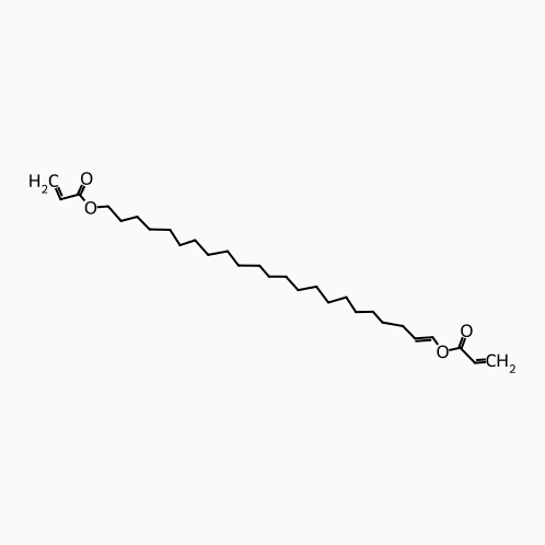 C=CC(=O)OC=CCCCCCCCCCCCCCCCCCCCCCOC(=O)C=C